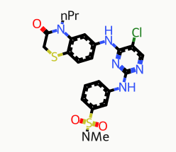 CCCN1C(=O)CSc2ccc(Nc3nc(Nc4cccc(S(=O)(=O)NC)c4)ncc3Cl)cc21